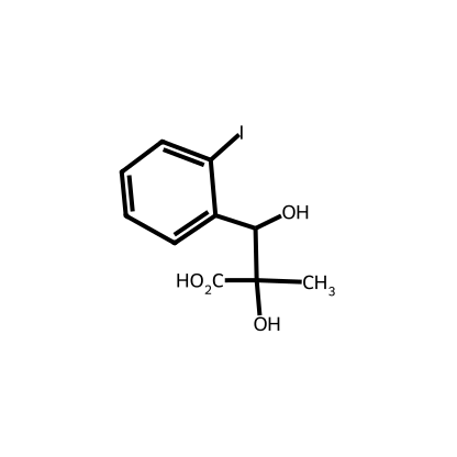 CC(O)(C(=O)O)C(O)c1ccccc1I